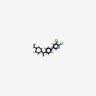 CCC1CCC(C(C)c2ccc(-c3cnc(Cl)c(Cl)c3)cc2)CC1